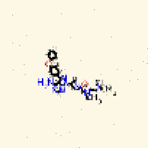 CN(C)CCN(C)CC(=O)N1CC(n2nc(-c3ccc(Oc4ccccc4)cc3)c3c(N)ncnc32)C1